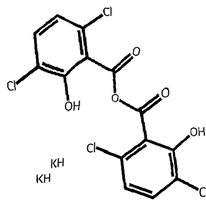 O=C(OC(=O)c1c(Cl)ccc(Cl)c1O)c1c(Cl)ccc(Cl)c1O.[KH].[KH]